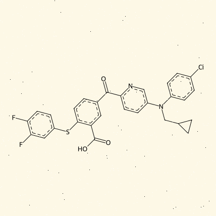 O=C(c1ccc(Sc2ccc(F)c(F)c2)c(C(=O)O)c1)c1ccc(N(CC2CC2)c2ccc(Cl)cc2)cn1